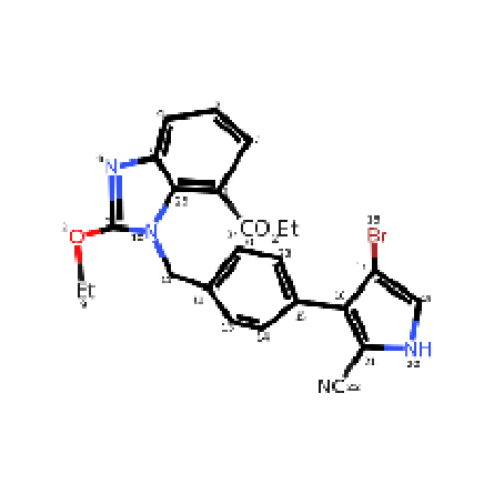 CCOC(=O)c1cccc2nc(OCC)n(Cc3ccc(-c4c(Br)c[nH]c4C#N)cc3)c12